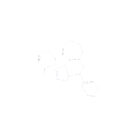 Clc1ccc(C(NC2C=C(c3cccc(Cl)c3)CCCC2)c2cnc[nH]2)cc1